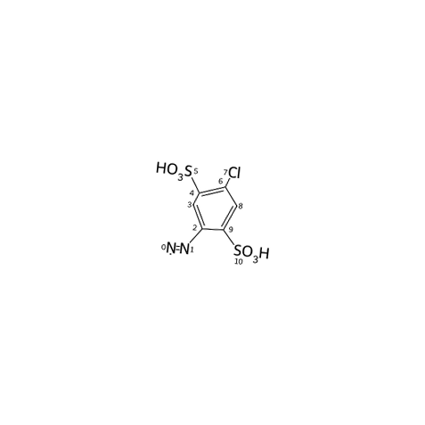 [N]=Nc1cc(S(=O)(=O)O)c(Cl)cc1S(=O)(=O)O